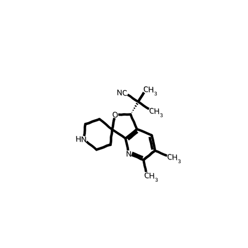 Cc1cc2c(nc1C)C1(CCNCC1)O[C@@H]2C(C)(C)C#N